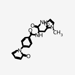 Cn1ccnc1CC(NC(=O)c1ccc(-n2ccccc2=O)cc1)C(N)=O